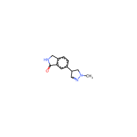 CN1CC(c2ccc3c(c2)C(=O)NC3)C=N1